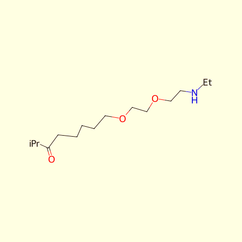 CCNCCOCCOCCCCCC(=O)C(C)C